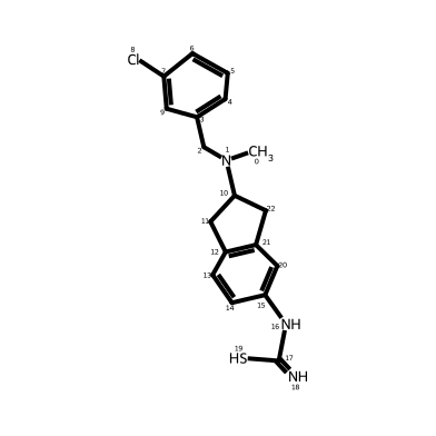 CN(Cc1cccc(Cl)c1)C1Cc2ccc(NC(=N)S)cc2C1